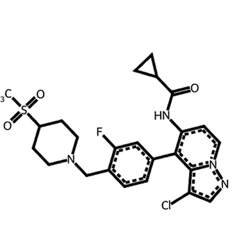 CS(=O)(=O)C1CCN(Cc2ccc(-c3c(NC(=O)C4CC4)ccn4ncc(Cl)c34)cc2F)CC1